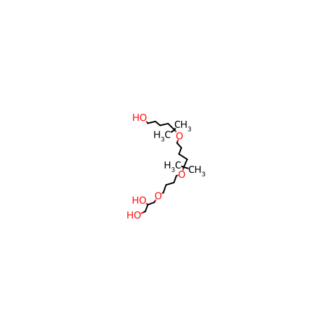 CC(C)(CCCCO)OCCCCC(C)(C)OCCCCOCC(O)CO